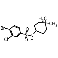 CC1(C)CCC(NS(=O)(=O)c2ccc(Br)c(Cl)c2)CC1